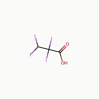 O=C(O)C(I)(I)C(I)I